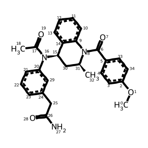 COc1ccc(C(=O)N2c3ccccc3[C@H](N(C(C)=O)c3cccc(CC(N)=O)c3)C[C@@H]2C)cc1